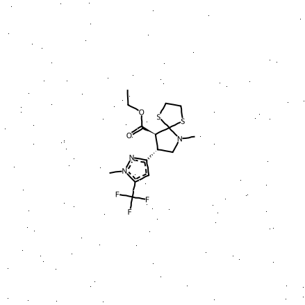 CCOC(=O)[C@@H]1[C@@H](c2cc(C(F)(F)F)n(C)n2)CN(C)C12SCCS2